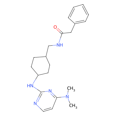 CN(C)c1ccnc(NC2CCC(CNC(=O)Cc3ccccc3)CC2)n1